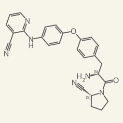 N#Cc1cccnc1Nc1ccc(Oc2ccc(C[C@H](N)C(=O)N3CCC[C@H]3C#N)cc2)cc1